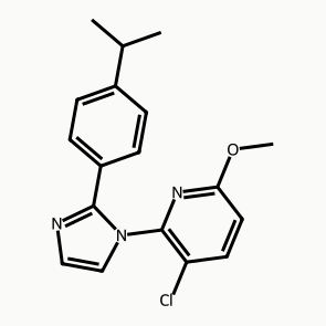 COc1ccc(Cl)c(-n2ccnc2-c2ccc(C(C)C)cc2)n1